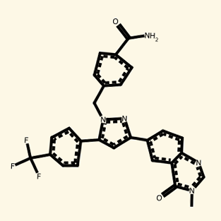 Cn1cnc2ccc(-c3cc(-c4ccc(C(F)(F)F)cc4)n(Cc4ccc(C(N)=O)cc4)n3)cc2c1=O